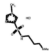 CNCCCNS(=O)(=O)c1cn(C)cn1.Cl